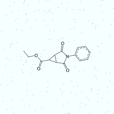 CCOC(=O)C1C2C(=O)N(c3ccccc3)C(=O)C12